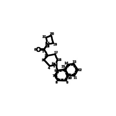 O=C(C1CCN(c2cccc3ccccc23)CC1)N1CCC1